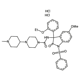 CCOc1ccccc1C1(NC(=O)N2CCN(C3CCN(C)CC3)CC2)C(=O)N(S(=O)(=O)c2ccccc2)c2ccc(OC)cc21.Cl.Cl